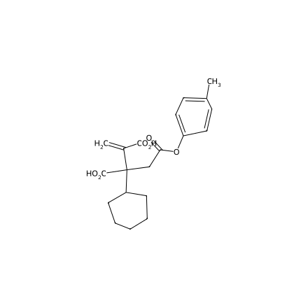 C=C(C(=O)O)C(CC(=O)Oc1ccc(C)cc1)(C(=O)O)C1CCCCC1